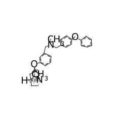 CC1[C@@H]2CC[N@@]1C[C@H](Oc1cccc(CN(C)Cc3ccc(Oc4ccccc4)cc3)c1)C2